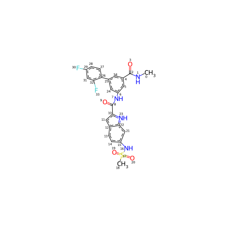 CNC(=O)c1cc(NC(=O)c2cc3ccc(NS(C)(=O)=O)cc3[nH]2)cc(-c2ccc(F)cc2F)c1